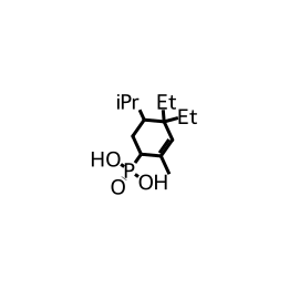 CCC1(CC)C=C(C)C(P(=O)(O)O)CC1C(C)C